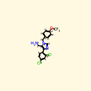 NCc1c(-c2ccc(Cl)cc2Cl)ncn1Cc1ccc(OC(F)(F)F)cc1